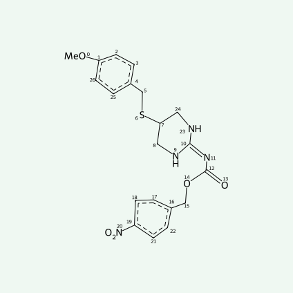 COc1ccc(CSC2CNC(=NC(=O)OCc3ccc([N+](=O)[O-])cc3)NC2)cc1